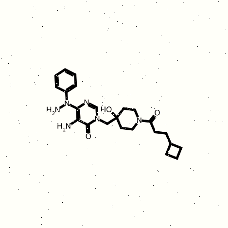 Nc1c(N(N)c2ccccc2)ncn(CC2(O)CCN(C(=O)CCC3CCC3)CC2)c1=O